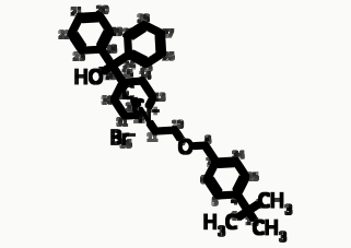 CC(C)(C)c1ccc(COCC[N+]23CCC(C(O)(c4ccccc4)c4ccccc4)(CC2)CC3)cc1.[Br-]